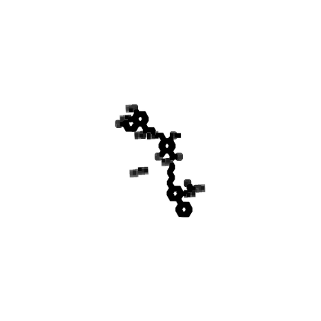 COc1cc(C(=O)NCCCCc2ccc(-c3ccccc3)c(NC(=O)O)c2)c(Cl)cc1CNC[C@@H](O)c1ccc(O)c2[nH]c(=O)ccc12.F.F